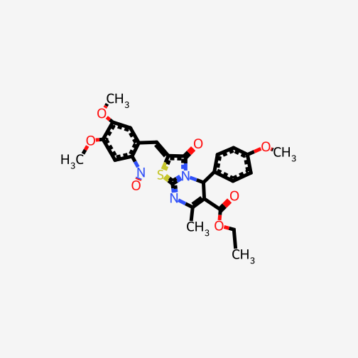 CCOC(=O)C1=C(C)N=c2s/c(=C\c3cc(OC)c(OC)cc3N=O)c(=O)n2C1c1ccc(OC)cc1